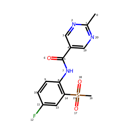 Cc1ncc(C(=O)Nc2ccc(F)cc2S(C)(=O)=O)cn1